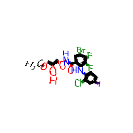 COCC(O)CONC(=O)c1cc(Br)c(F)c(F)c1Nc1ccc(I)cc1Cl